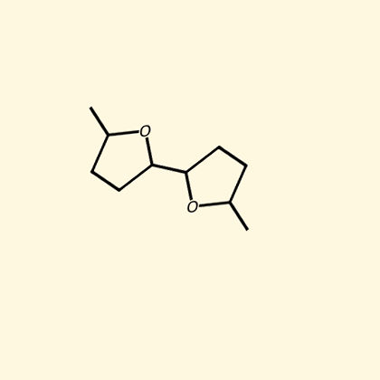 CC1CCC(C2CCC(C)O2)O1